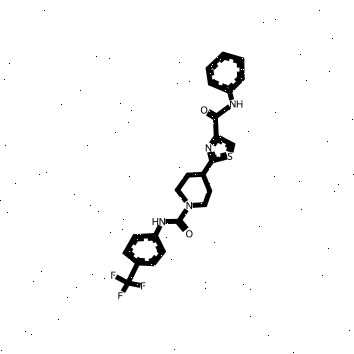 O=C(Nc1ccccc1)c1csc(C2CCN(C(=O)Nc3ccc(C(F)(F)F)cc3)CC2)n1